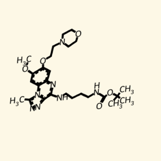 COc1cc2c(cc1OCCN1CCOCC1)nc(NCCCCNC(=O)OC(C)(C)C)c1nnc(C)n12